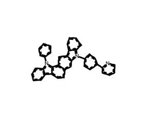 c1ccc(-n2c3ccccc3c3ccc4cc5c(cc4c32)c2ccccc2n5-c2ccc(-c3ccccn3)cc2)cc1